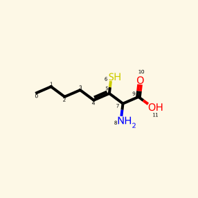 CCCCC=C(S)C(N)C(=O)O